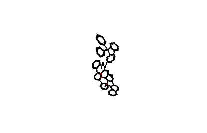 CC1(C)c2c(ccc3ccccc23)-c2ccc3cc(N(c4ccc5c(c4)C(c4ccccc4)(c4ccccc4)c4ccccc4-5)c4ccccc4-c4ccc(-c5ccccc5)cc4)ccc3c21